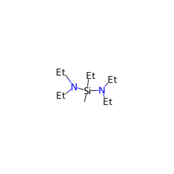 CCN(CC)[Si](C)(CC)N(CC)CC